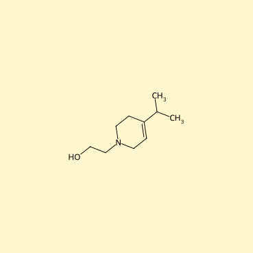 CC(C)C1=CCN(CCO)CC1